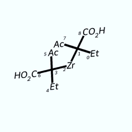 CC[C]([Zr][C](CC)(C(C)=O)C(=O)O)(C(C)=O)C(=O)O